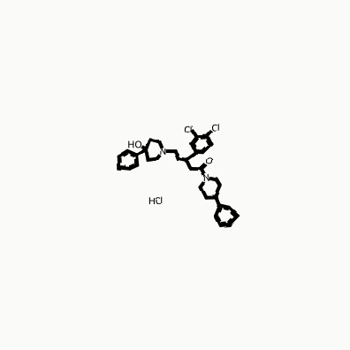 Cl.O=C(CC(CCN1CCC(O)(c2ccccc2)CC1)c1ccc(Cl)c(Cl)c1)N1CCC(c2ccccc2)CC1